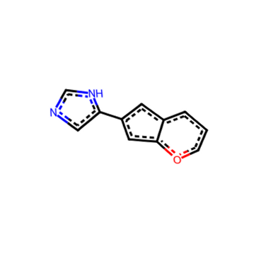 c1coc2cc(-c3cnc[nH]3)cc-2c1